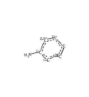 N[12c]1[12cH][12cH][12cH][12cH][12cH]1